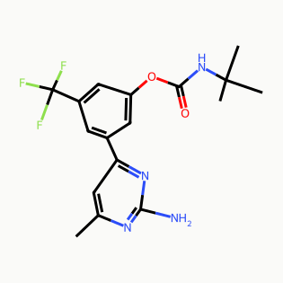 Cc1cc(-c2cc(OC(=O)NC(C)(C)C)cc(C(F)(F)F)c2)nc(N)n1